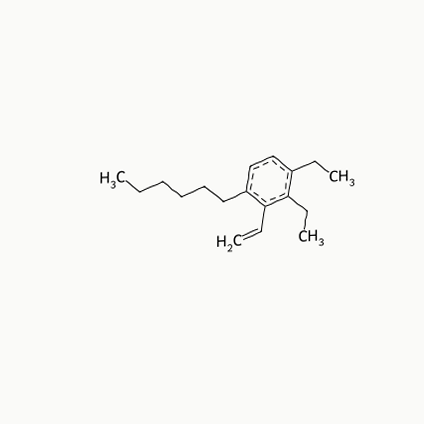 C=Cc1c(CCCCCC)ccc(CC)c1CC